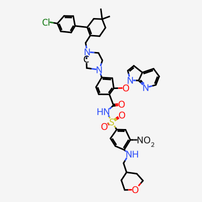 CC1(C)CCC(CN2CCN(c3ccc(C(=O)NS(=O)(=O)c4ccc(NCC5CCOCC5)c([N+](=O)[O-])c4)c(On4ccc5cccnc54)c3)CC2)=C(c2ccc(Cl)cc2)C1